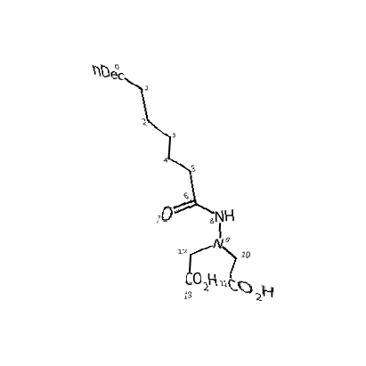 CCCCCCCCCCCCCCCC(=O)NN(CC(=O)O)CC(=O)O